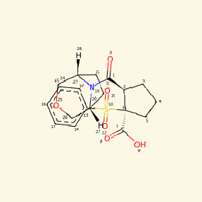 O=C([C@H]1CCC[C@@]1(C(=O)O)S(=O)(=O)c1ccccc1)N1[C@@H]2CC[C@H]1COC2